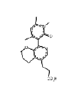 Cc1cc(C)n(C)c(=O)c1-c1ccc(CCC(=O)O)c2c1OCCC2